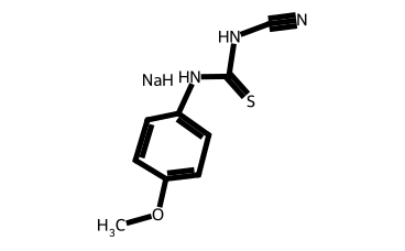 COc1ccc(NC(=S)NC#N)cc1.[NaH]